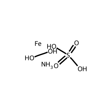 N.O=S(=O)(O)O.OO.[Fe]